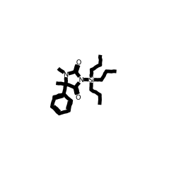 CCC[Si](CCC)(CCC)N1C(=O)N(C)C(C)(c2ccccc2)C1=O